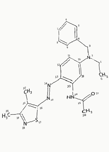 CCN(Cc1ccccc1)c1ccc(/N=N/c2snc(C)c2C)c(NC(C)=O)c1